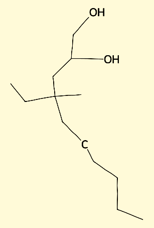 CCCCCCC(C)(CC)CC(O)CO